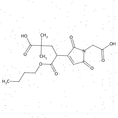 CCCCOC(=O)C(CC(C)(C)C(=O)O)C1=CC(=O)N(CC(=O)O)C1=O